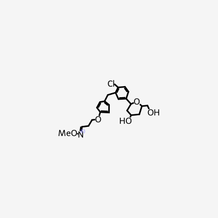 CO/N=C/CCOc1ccc(Cc2cc(C3CC(O)CC(CO)O3)ccc2Cl)cc1